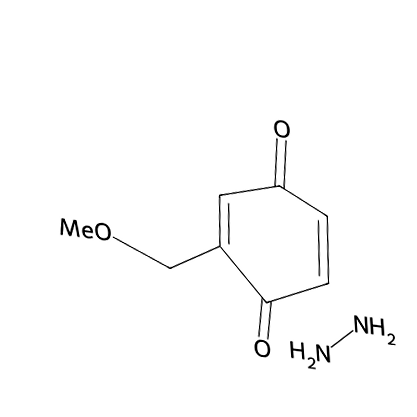 COCC1=CC(=O)C=CC1=O.NN